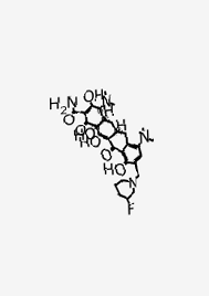 CN(C)c1cc(CN2CCCC(F)C2)c(O)c2c1C[C@H]1C[C@H]3[C@H](N(C)C)C(O)=C(C(N)=O)C(=O)[C@@]3(O)C(O)=C1C2=O